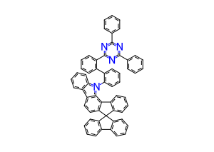 c1ccc(-c2nc(-c3ccccc3)nc(-c3ccccc3-c3ccccc3-n3c4ccccc4c4ccc5c(c43)-c3ccccc3C53c4ccccc4-c4ccccc43)n2)cc1